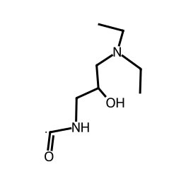 CCN(CC)CC(O)CN[C]=O